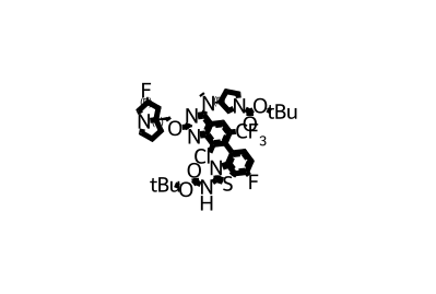 CN(c1nc(OC[C@@]23CCCN2C[C@H](F)C3)nc2c(Cl)c(-c3ccc(F)c4sc(NC(=O)OC(C)(C)C)nc34)c(C(F)(F)F)cc12)[C@@H]1CCN(C(=O)OC(C)(C)C)C1